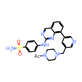 CC(=O)N1CCN(Cc2cncc(-c3cccc4cnc(Nc5ccc(S(N)(=O)=O)cc5)nc34)c2)CC1